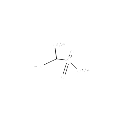 COC(C)S(=O)(=O)OC